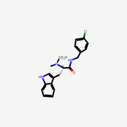 CN(C(=O)O)[C@@H](Cc1c[nH]c2ccccc12)C(=O)NCc1ccc(Cl)cc1